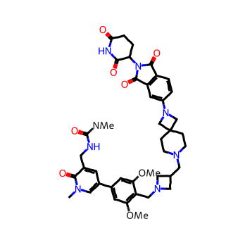 CNC(=O)NCc1cc(-c2cc(OC)c(CN3CC(CN4CCC5(CC4)CN(c4ccc6c(c4)C(=O)N(C4CCC(=O)NC4=O)C6=O)C5)C3)c(OC)c2)cn(C)c1=O